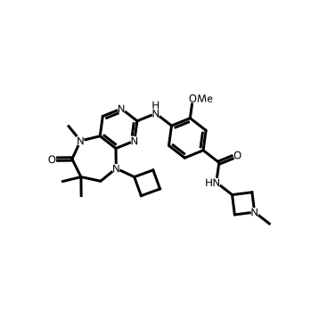 COc1cc(C(=O)NC2CN(C)C2)ccc1Nc1ncc2c(n1)N(C1CCC1)CC(C)(C)C(=O)N2C